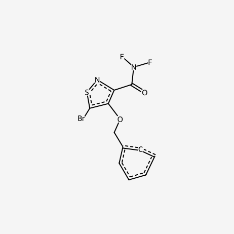 O=C(c1nsc(Br)c1OCc1ccccc1)N(F)F